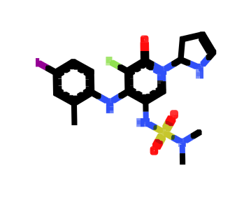 Cc1cc(I)ccc1Nc1c(NS(=O)(=O)N(C)C)cn(C2CC=CN2)c(=O)c1F